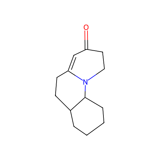 O=C1C=C2CCC3CCCCC3N2CC1